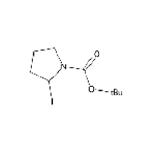 CC(C)(C)OC(=O)N1CCCC1I